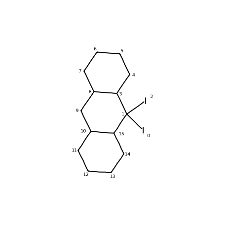 IC1(I)C2CCCCC2CC2CCCCC21